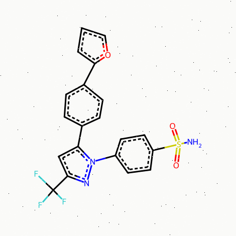 NS(=O)(=O)c1ccc(-n2nc(C(F)(F)F)cc2-c2ccc(-c3ccco3)cc2)cc1